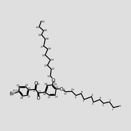 CCCCCCCCCCCCOc1ccc(C(=O)C(=O)c2ccc(Br)cc2)cc1OCCCCCCCCCCCC